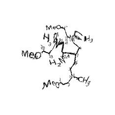 COCCN(C)CCC(CN(C)CCOC)C(N)CN(C)CCOC